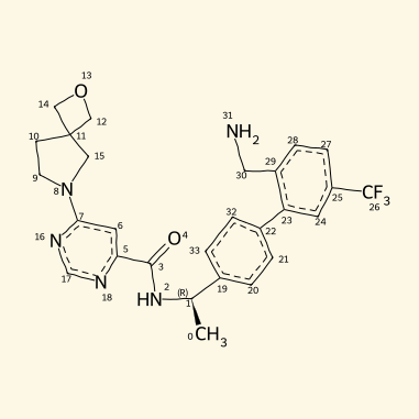 C[C@@H](NC(=O)c1cc(N2CCC3(COC3)C2)ncn1)c1ccc(-c2cc(C(F)(F)F)ccc2CN)cc1